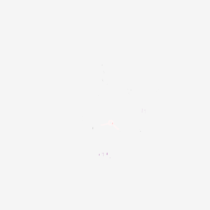 Pc1ccccc1Oc1ccccc1P.c1ccc(-c2ccccc2)cc1